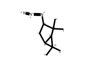 CC1(C)C(N=[N+]=[N-])CC2C1C2(C)C